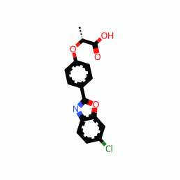 C[C@@H](Oc1ccc(-c2nc3ccc(Cl)cc3o2)cc1)C(=O)O